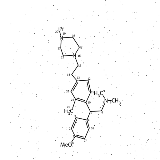 COc1ccc(C(CN(C)C)c2ccc(CCN3CCN(C(C)C)CC3)cc2C)cc1